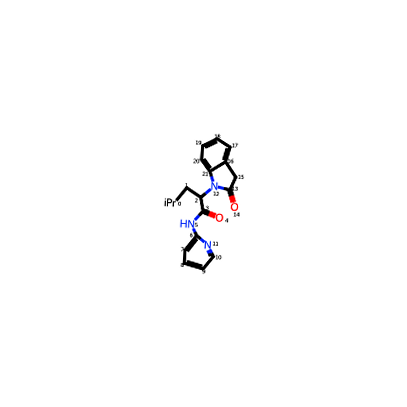 CC(C)CC(C(=O)Nc1ccccn1)N1C(=O)Cc2ccccc21